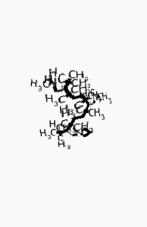 CNC[C@@H](C(C)(C)C)C(C)(C)CCC(C)(C)[C@H](CN(C)C)C(C)(C)CCC(C)(C)[C@H](CN1CCC1)C(C)(C)C